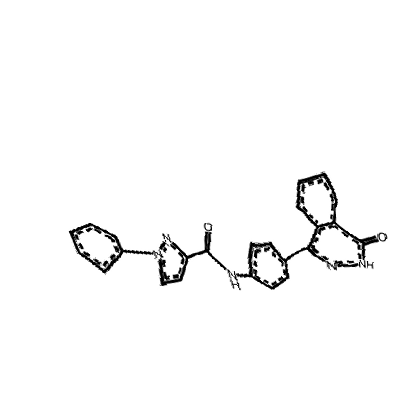 O=C(Nc1ccc(-c2n[nH]c(=O)c3ccccc23)cc1)c1ccn(-c2ccccc2)n1